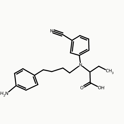 CCC(C(=O)O)N(CCCCc1ccc(N)cc1)c1cccc(C#N)c1